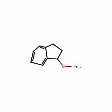 CCCCCOC1CCc2ccccc21